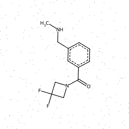 CNCc1cccc(C(=O)N2CC(F)(F)C2)c1